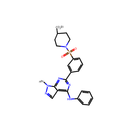 CCCn1ncc2c(Nc3ccccc3)nc(-c3cccc(S(=O)(=O)N4CCC(C(=O)OCC)CC4)c3)nc21